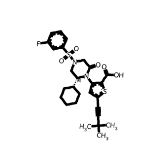 CC(C)(C)C#Cc1cc(N2C(=O)CN(S(=O)(=O)c3cccc(F)c3)C[C@H]2C2CCCCC2)c(C(=O)O)s1